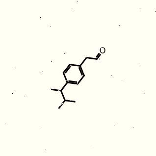 CC(C)C(C)c1ccc(C[C]=O)cc1